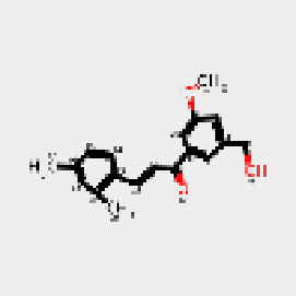 COc1cc(CO)cc(C(=O)/C=C/c2ccc(C)cc2C)c1